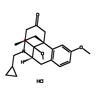 COc1ccc2c(c1)[C@]13CCN(CC4CC4)[C@H](C2)C1(OC)[C@@H](C)CC(=O)C3.Cl